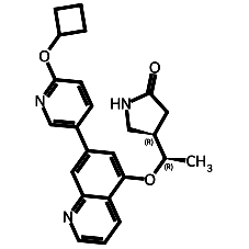 C[C@@H](Oc1cc(-c2ccc(OC3CCC3)nc2)cc2ncccc12)[C@H]1CNC(=O)C1